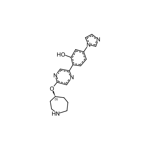 Oc1cc(-n2ccnc2)ccc1-c1cnc(O[C@H]2CCCNCC2)cn1